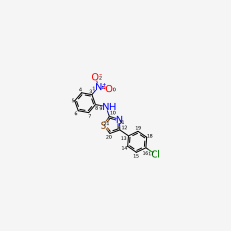 O=[N+]([O-])c1ccccc1Nc1nc(-c2ccc(Cl)cc2)cs1